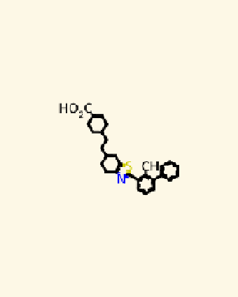 Cc1c(-c2ccccc2)cccc1-c1nc2c(s1)CC(CCC1CCC(C(=O)O)CC1)CC2